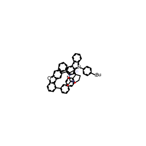 CCC(C)c1ccc(-n2c3ccccc3c3cc(-c4ccc5oc6cccc(-c7cccc(C8=C/CC/C(c9ccccc9)=C/C(c9ccccc9)=N\8)c7)c6c5c4)ccc32)cc1